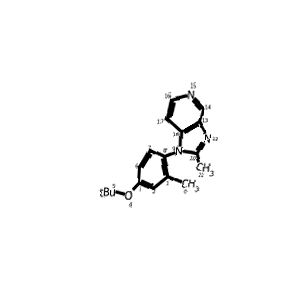 Cc1cc(OC(C)(C)C)ccc1-n1c(C)nc2cnccc21